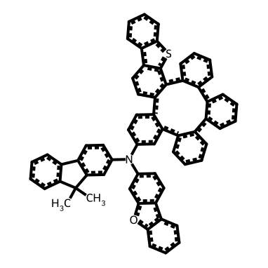 CC1(C)c2ccccc2-c2ccc(N(c3ccc4c(c3)oc3ccccc34)c3ccc4c(c3)c3ccccc3c3ccccc3c3ccccc3c3c4ccc4c5ccccc5sc43)cc21